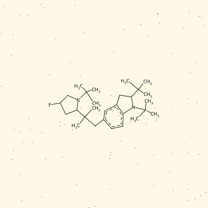 CC(C)(C)C1Cc2cc(CC(C)(C)C3CC(F)CN3C(C)(C)C)ccc2N1C(C)(C)C